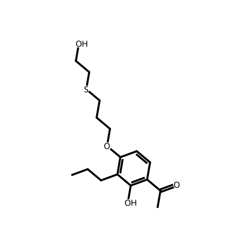 CCCc1c(OCCCSCCO)ccc(C(C)=O)c1O